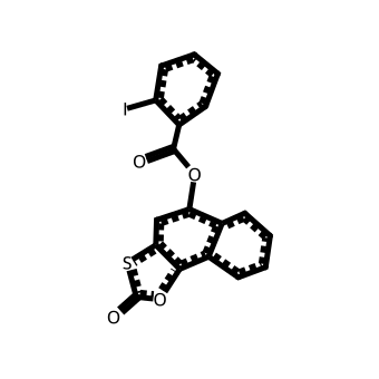 O=C(Oc1cc2sc(=O)oc2c2ccccc12)c1ccccc1I